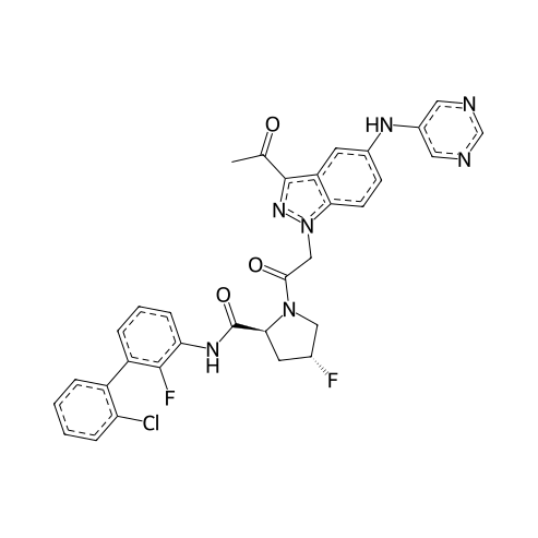 CC(=O)c1nn(CC(=O)N2C[C@H](F)C[C@H]2C(=O)Nc2cccc(-c3ccccc3Cl)c2F)c2ccc(Nc3cncnc3)cc12